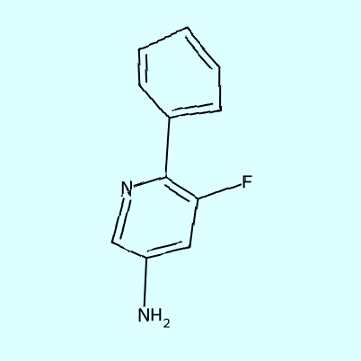 Nc1cnc(-c2ccccc2)c(F)c1